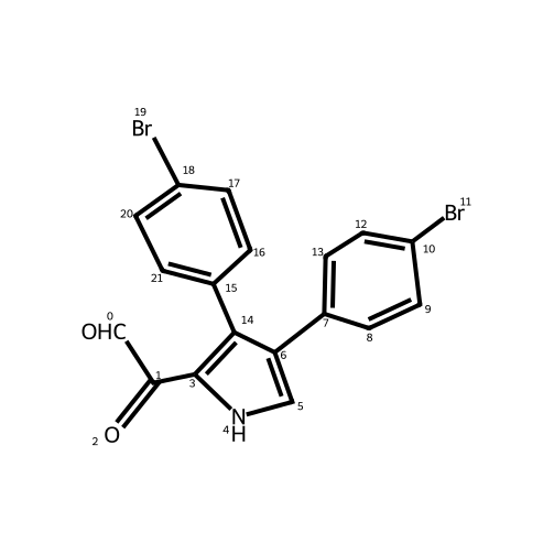 O=CC(=O)c1[nH]cc(-c2ccc(Br)cc2)c1-c1ccc(Br)cc1